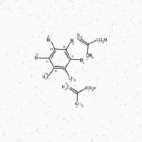 C=C(C)C(=O)O.C=C(C)C(=O)O.Cc1c(C)c(Br)c(Br)c(Br)c1Br